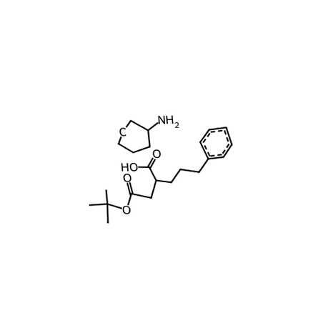 CC(C)(C)OC(=O)CC(CCCc1ccccc1)C(=O)O.NC1CCCCC1